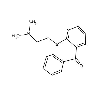 CN(C)CCSc1ncccc1C(=O)c1ccccc1